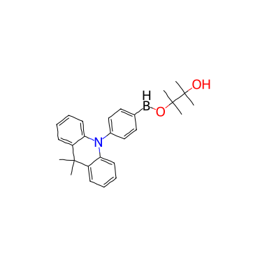 CC1(C)c2ccccc2N(c2ccc(BOC(C)(C)C(C)(C)O)cc2)c2ccccc21